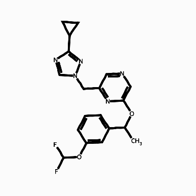 CC(Oc1cncc(Cn2cnc(C3CC3)n2)n1)c1cccc(OC(F)F)c1